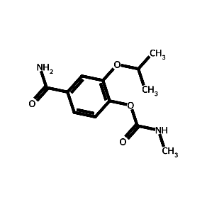 CNC(=O)Oc1ccc(C(N)=O)cc1OC(C)C